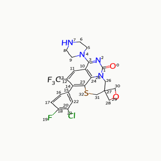 O=c1nc(N2CCNCC2)c2cc(C(F)(F)F)c(-c3ccc(F)c(Cl)c3)c3c2n1CC1(COC1)CS3